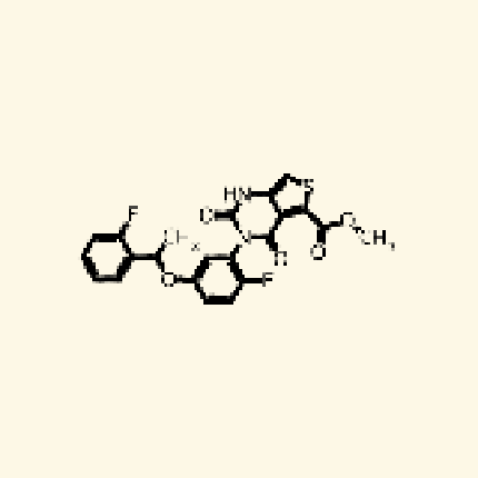 COC(=O)c1scc2[nH]c(=O)n(-c3cc(OC(C)c4ccccc4F)ccc3F)c(=O)c12